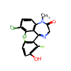 CN1C(=O)CN=C(c2c(F)ccc(O)c2F)c2c1ccc(Cl)c2Cl